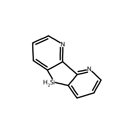 c1cnc2c(c1)[SiH2]c1cccnc1-2